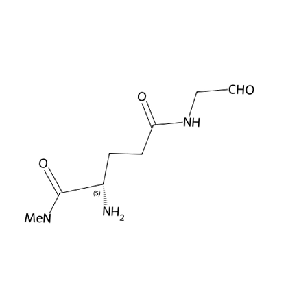 CNC(=O)[C@@H](N)CCC(=O)NCC=O